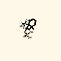 CCC(C)(OP(=O)(O)O)C1(P(=O)(OC)OC)C=CC=CC1(C)C